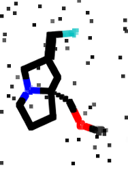 CC(C)OC[C@]12CCCN1C/C(=C/F)C2